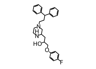 OC(COc1ccc(F)cc1)CC1CN(CCC(c2ccccc2)c2ccccc2)CCN1